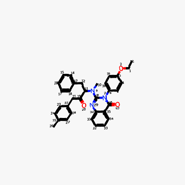 CCOc1ccc(-n2c(N(C)C(Cc3ccccc3)C(=O)Cc3ccc(C)cc3)nc3ccccc3c2=O)cc1